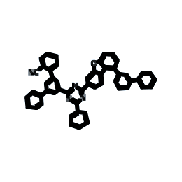 N#Cc1ccccc1-c1cc(-c2ccccc2)cc(-c2nc(-c3ccccc3)nc(-c3ccc4c(c3)oc3cccc(-c5cccc(-c6ccccc6)c5)c34)n2)c1